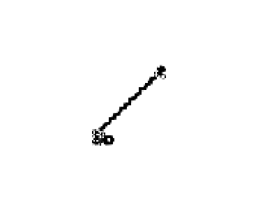 CC(C)(C)C(=O)OCCCCCCCCCCCCCCCCCCCCCCS(=O)(=O)c1nnnn1-c1ccccc1